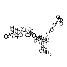 CN[C@H](C(=O)N[C@H](C(=O)N(C)[C@H](/C=C(\C)C(=O)NS(=O)(=O)c1ccc(NC(=O)[C@H](CCCNC(N)=O)NC(=O)[C@@H](NC(=O)CCOCCOCCOCCN2C(=O)C=CC2=O)C(C)C)cc1)C(C)C)C(C)(C)C)C(C)(C)c1ccccc1